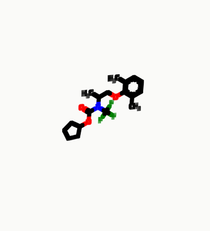 Cc1cccc(C)c1OCC(C)N(C(=O)OC1CCCC1)C(F)(F)F